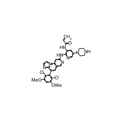 C=CC(=O)Nc1cc(N2CCNCC2)cnc1Nc1cc2c(cn1)cc(-c1c(Cl)c(OC)cc(OC)c1Cl)c1nccn12